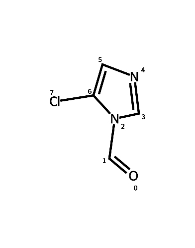 O=Cn1cncc1Cl